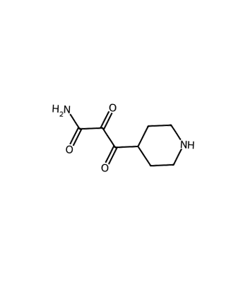 NC(=O)C(=O)C(=O)C1CCNCC1